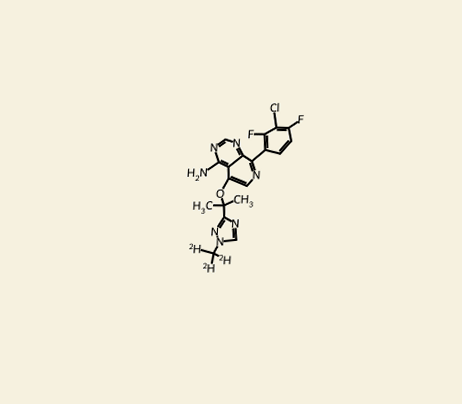 [2H]C([2H])([2H])n1cnc(C(C)(C)Oc2cnc(-c3ccc(F)c(Cl)c3F)c3ncnc(N)c23)n1